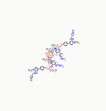 C[n+]1ccc(-c2ccc(OC[C@H](O/N=C(\C(=O)N[C@@H]3C(=O)N(OS(=O)(=O)ON4C(=O)[C@@H](NC(=O)/C(=N\O[C@@H](COc5ccc(-c6cc[n+](C)c(NCC7CNC7)c6)cc5)C(=O)O)c5csc(N)n5)C4(C)C)C3(C)C)c3csc(N)n3)C(=O)O)cc2)cc1NCC1CNC1